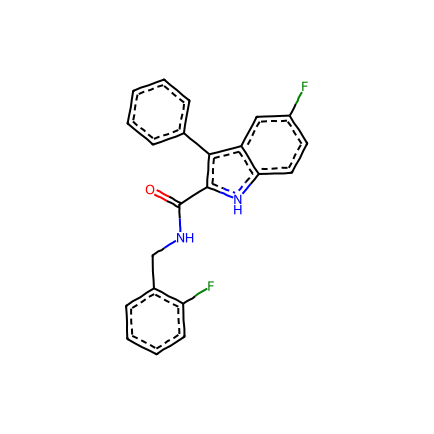 O=C(NCc1ccccc1F)c1[nH]c2ccc(F)cc2c1-c1ccccc1